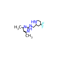 Cc1cc(C)nc(NCC2CC(F)(F)CCN2)n1